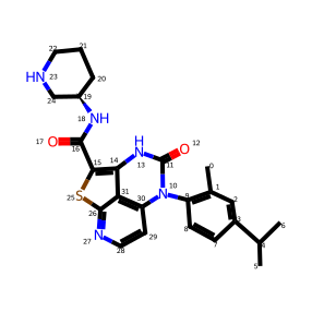 Cc1cc(C(C)C)ccc1N1C(=O)Nc2c(C(=O)N[C@@H]3CCCNC3)sc3nccc1c23